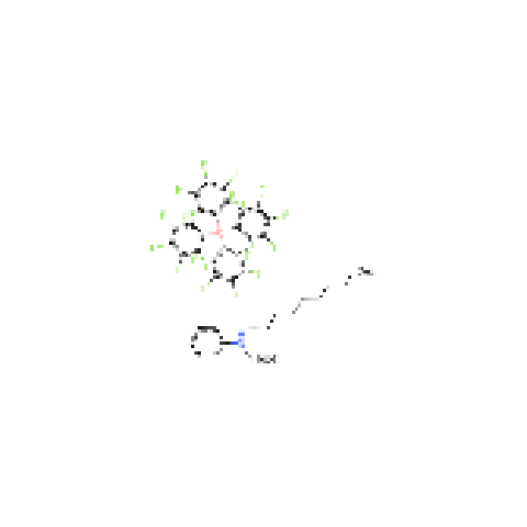 CCCCCCCCCCCCCCCCCC[NH+](CCCCCCC)c1ccccc1.Fc1c(F)c(F)c([B-](c2c(F)c(F)c(F)c(F)c2F)(c2c(F)c(F)c(F)c(F)c2F)c2c(F)c(F)c(F)c(F)c2F)c(F)c1F